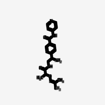 CC(C)=NOC(C)C(=O)NCC(N)c1ccc(C(=O)Nc2ccncc2)cc1